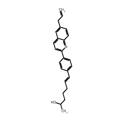 C=CCc1ccc2nc(-c3ccc(/C=C/CCCC(C)O)cc3)ccc2c1